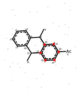 CC(=O)c1ccc2c(c1)C1(C)c3ccccc3C2(C)c2ccccc21